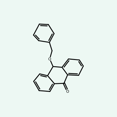 O=C1c2ccccc2C(OCc2ccccc2)c2ccccc21